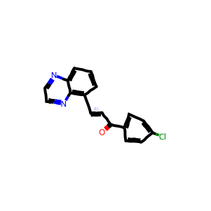 O=C(/C=C/c1cccc2nccnc12)c1ccc(Cl)cc1